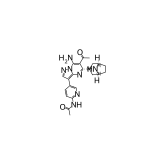 CC(=O)Nc1ccc(-c2cnn3c(N)c(C(C)=O)c([C@@H]4C[C@H]5CC[C@@H](C4)N5)nc23)cn1